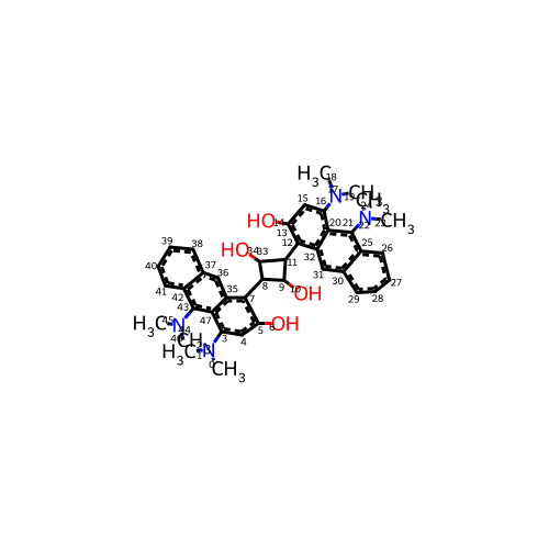 CN(C)c1cc(O)c(C2C(O)C(c3c(O)cc(N(C)C)c4c(N(C)C)c5ccccc5cc34)C2O)c2cc3ccccc3c(N(C)C)c12